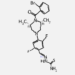 C[C@@H]1CN(c2cc(F)c(/C=N/NC(N)=S)cc2F)C[C@H](C)N1C(=O)c1ccccc1Br